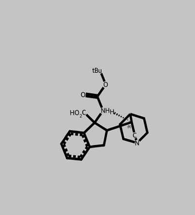 CC(C)(C)OC(=O)NC1(C(=O)O)c2ccccc2CC1[C@@H]1CN2CCC1CC2